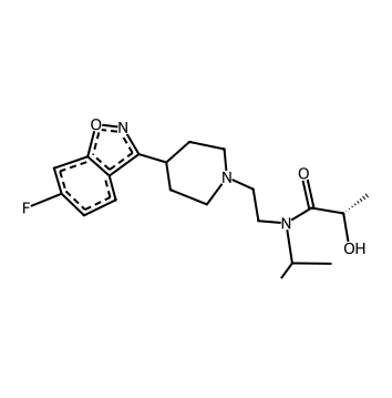 CC(C)N(CCN1CCC(c2noc3cc(F)ccc23)CC1)C(=O)[C@H](C)O